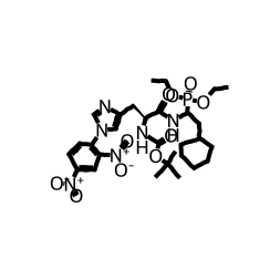 CCOP(=O)(OCC)C(CC1CCCCC1)NC(=O)[C@H](Cc1cn(-c2ccc([N+](=O)[O-])cc2[N+](=O)[O-])cn1)NC(=O)OC(C)(C)C